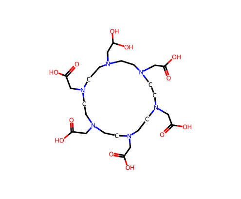 O=C(O)CN1CCN(CC(=O)O)CCN(CC(=O)O)CCN(CC(O)O)CCN(CC(=O)O)CCN(CC(=O)O)CC1